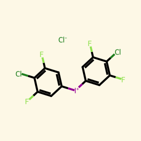 Fc1cc([I+]c2cc(F)c(Cl)c(F)c2)cc(F)c1Cl.[Cl-]